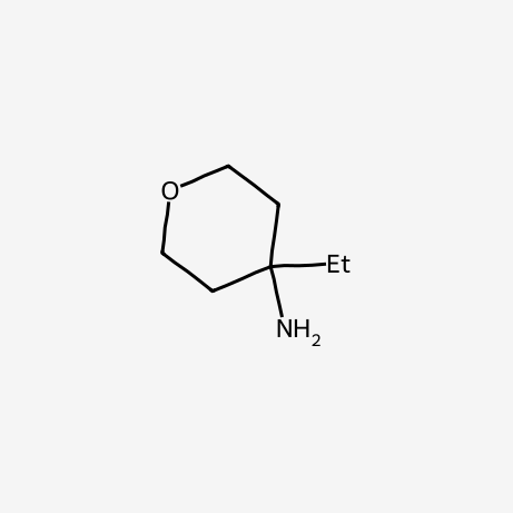 CCC1(N)CCOCC1